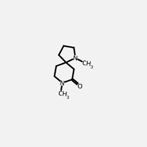 CN1CCC2(CCCN2C)CC1=O